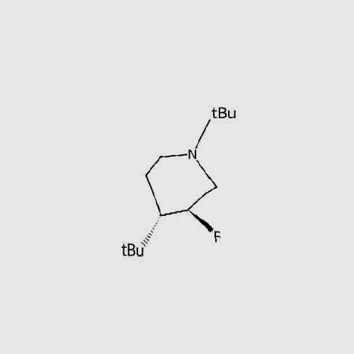 CC(C)(C)[C@@H]1CCN(C(C)(C)C)C[C@H]1F